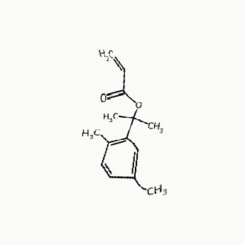 C=CC(=O)OC(C)(C)c1cc(C)ccc1C